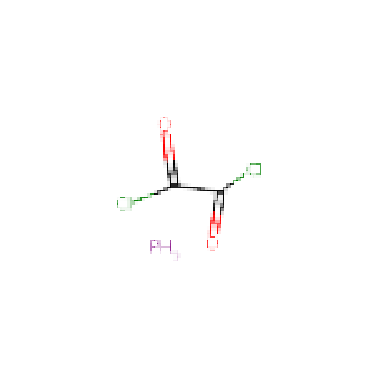 O=C(Cl)C(=O)Cl.P